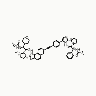 CC[C@H]1CC[C@@H](c2nc3ccc4cc(C#Cc5ccc(-c6cnc([C@@H]7CCCN7C(=O)[C@H](NC(=O)OC)c7ccccc7)[nH]6)cc5)ccc4c3[nH]2)N1C(=O)C(NC(=O)OC)C1CCOCC1